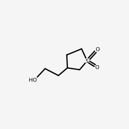 O=S1(=O)CCC(CCO)C1